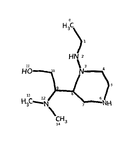 CCNN1CCNCC1C(CO)N(C)C